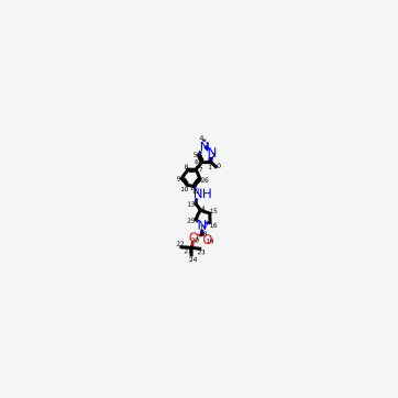 Cc1nn(C)cc1-c1cccc(NCC2CCN(C(=O)OC(C)(C)C)C2)c1